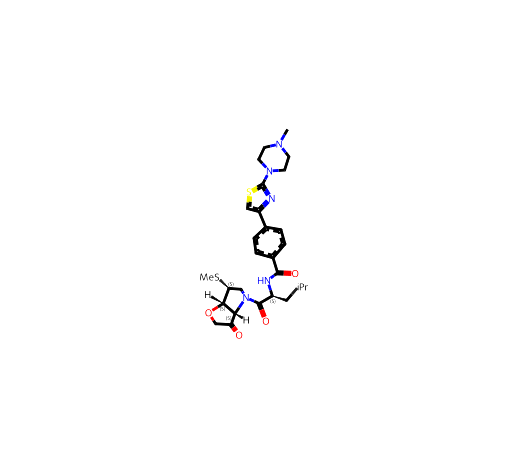 CS[C@H]1CN(C(=O)[C@H](CC(C)C)NC(=O)c2ccc(-c3csc(N4CCN(C)CC4)n3)cc2)[C@@H]2C(=O)CO[C@H]12